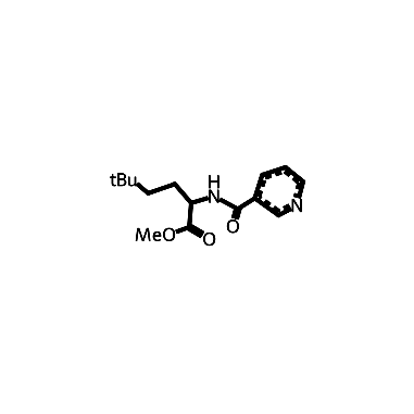 COC(=O)C(CCC(C)(C)C)NC(=O)c1cccnc1